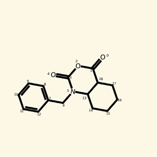 O=C1OC(=O)N(Cc2ccccc2)C2CCCCC12